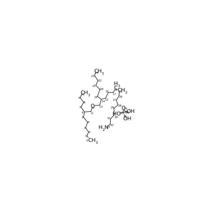 CCCCCCC(CCCC)COCC(CCCC)CCCCCC.CCCCCCCCN.O=P(O)(O)O